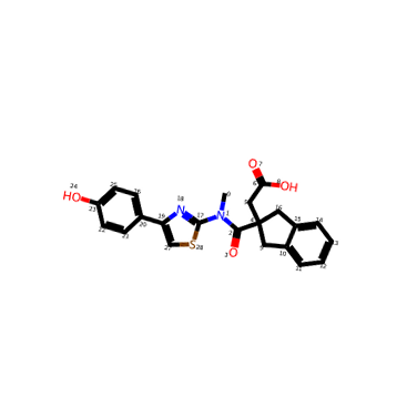 CN(C(=O)C1(CC(=O)O)Cc2ccccc2C1)c1nc(-c2ccc(O)cc2)cs1